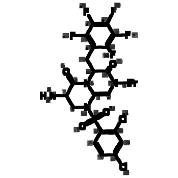 CC(C)N1C=C2N(C(=O)C(N)CN2S(=O)(=O)c2ccc(Cl)cc2Cl)C(Cc2c(F)c(F)c(F)c(F)c2F)C1=O